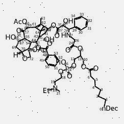 CCCCCCCCCCCCCCCCC(=O)OCC(COP(=O)(O)OCCN(C)CC)OC(=O)CNC(c1ccccc1)[C@@H](O)C(=O)O[C@H]1C[C@@]2(O)[C@@H](OC(=O)c3ccccc3)C3[C@](C)(C(=O)[C@H](OC(C)=O)C(=C1C)C2(C)C)[C@@H](O)C[C@H]1OC[C@@]31OC(C)=O